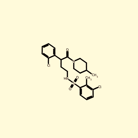 Cc1c(Cl)cccc1S(=O)(=O)NCCC(C(=O)N1CCC(C)CC1)c1ccccc1Cl